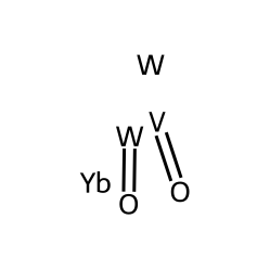 [O]=[V].[O]=[W].[W].[Yb]